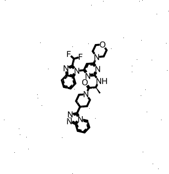 C[C@H](Nc1nc(N2CCOCC2)cc(-n2c(C(F)F)nc3ccccc32)n1)C(=O)N1CCC(c2nnc3ccccn23)CC1